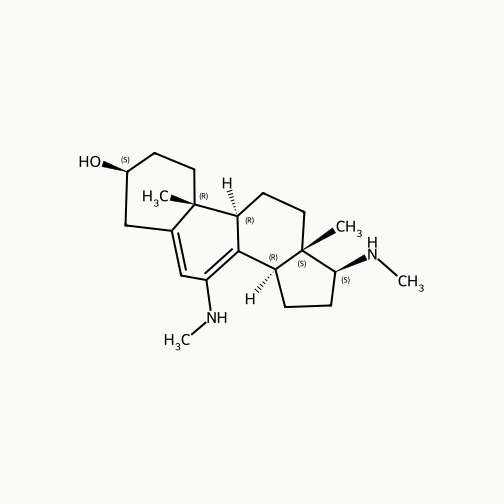 CNC1=C2[C@@H]3CC[C@H](NC)[C@@]3(C)CC[C@@H]2[C@@]2(C)CC[C@H](O)CC2=C1